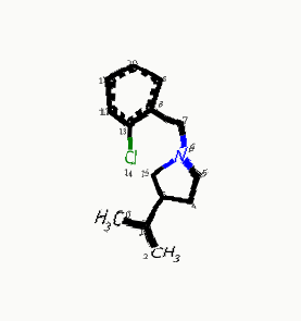 CC(C)C1CCN(Cc2ccccc2Cl)C1